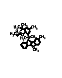 C=CCOc1c(C(C)(C)C)cc(C)cc1[Si](C)(C)C1c2ccccc2-c2c1c1cc(C)ccc1n2C